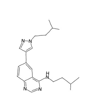 CC(C)CCNc1ncnc2ccc(-c3cnn(CCC(C)C)c3)cc12